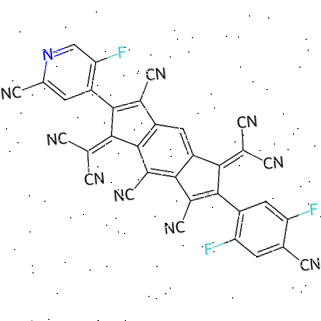 N#CC(C#N)=C1C(c2cc(F)c(C#N)cc2F)=C(C#N)c2c1cc1c(c2C#N)C(=C(C#N)C#N)C(c2cc(C#N)ncc2F)=C1C#N